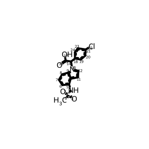 CS(=O)(=O)Nc1cccc2c1ccn2C(C(=O)O)c1ccc(Cl)cc1